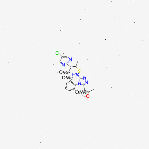 COc1cccc(OC)c1-n1c(NSC(C)C(OC)c2ncc(Cl)cn2)nnc1C1CCOC1C